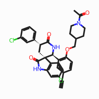 C#Cc1ccc(OCC2CCN(C(C)=O)CC2)c([C@@H]2NC(=O)[C@@H](c3cccc(Cl)c3)C[C@]23C(=O)Nc2cc(Cl)ccc23)c1